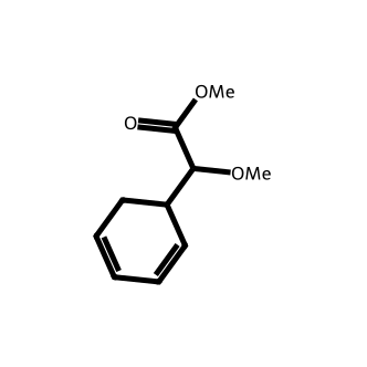 COC(=O)C(OC)C1C=CC=CC1